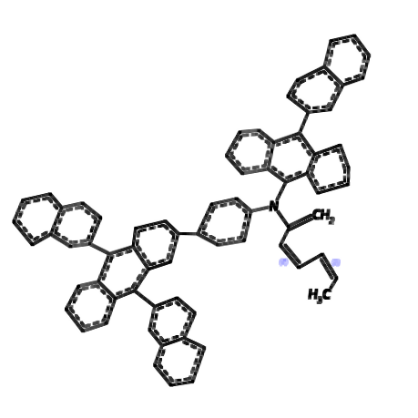 C=C(/C=C\C=C/C)N(c1ccc(-c2ccc3c(-c4ccc5ccccc5c4)c4ccccc4c(-c4ccc5ccccc5c4)c3c2)cc1)c1c2ccccc2c(-c2ccc3ccccc3c2)c2ccccc12